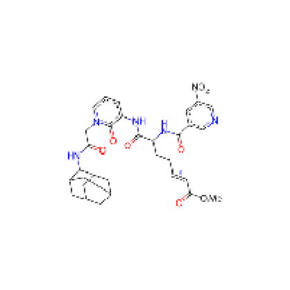 COC(=O)/C=C/CCC(NC(=O)c1cncc([N+](=O)[O-])c1)C(=O)Nc1cccn(CC(=O)NC2C3CC4CC(C3)CC2C4)c1=O